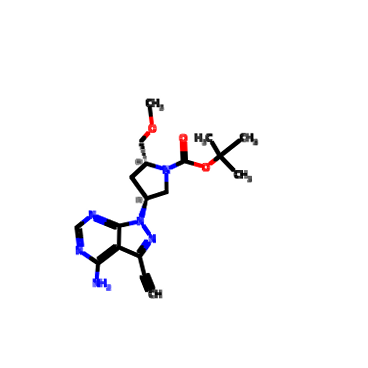 C#Cc1nn([C@H]2C[C@H](COC)N(C(=O)OC(C)(C)C)C2)c2ncnc(N)c12